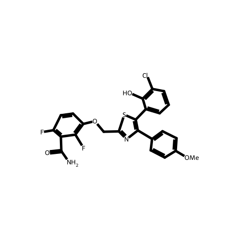 COc1ccc(-c2nc(COc3ccc(F)c(C(N)=O)c3F)sc2-c2cccc(Cl)c2O)cc1